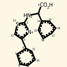 O=C(O)C(Nc1nc(-c2ccccc2)cs1)c1ccccc1